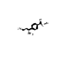 CC(C)CC[C@@H](N)c1ccc(C(=O)OC(C)C)cc1